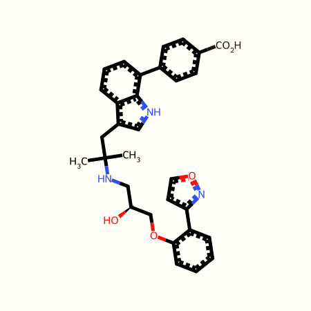 CC(C)(Cc1c[nH]c2c(-c3ccc(C(=O)O)cc3)cccc12)NC[C@H](O)COc1ccccc1-c1ccon1